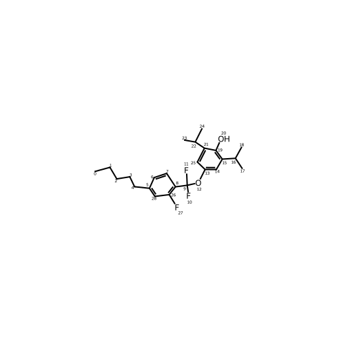 CCCCCc1ccc(C(F)(F)Oc2cc(C(C)C)c(O)c(C(C)C)c2)c(F)c1